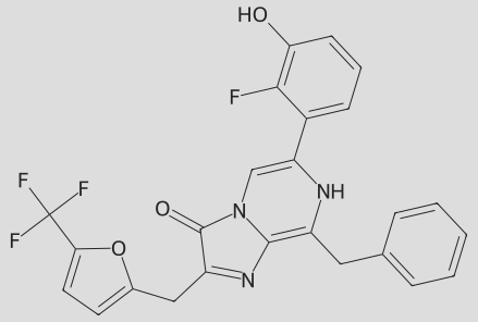 O=c1c(Cc2ccc(C(F)(F)F)o2)nc2c(Cc3ccccc3)[nH]c(-c3cccc(O)c3F)cn1-2